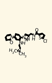 CN(C)CCNc1cc(-n2ccccc2=O)ccc1-n1cc(CNC(=O)c2ccc(Cl)s2)nn1